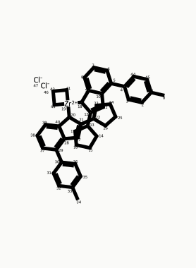 Cc1ccc(-c2cccc3c2C=C(C2CCCC2)[CH]3[Zr+2]2([CH]3C(C4CCCC4)=Cc4c(-c5ccc(C)cc5)cccc43)[CH2]C[CH2]2)cc1.[Cl-].[Cl-]